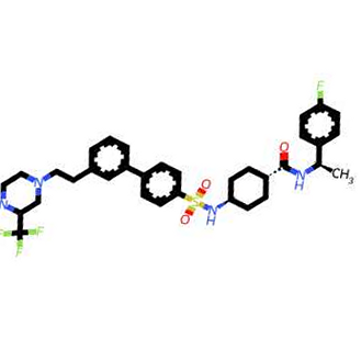 C[C@@H](NC(=O)[C@H]1CC[C@H](NS(=O)(=O)c2ccc(-c3cccc(CCN4CCNC(C(F)(F)F)C4)c3)cc2)CC1)c1ccc(F)cc1